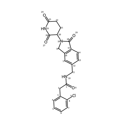 O=C(Cc1ccccc1Cl)NCc1ccc2c(c1)CN(C1CCC(=O)NC1=O)C2=O